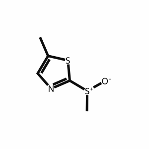 Cc1cnc([S+](C)[O-])s1